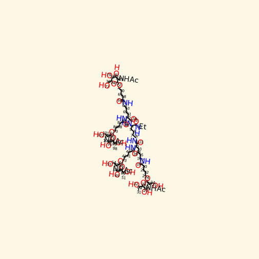 CCNC(=O)C(CCCCNC(=O)C(CCCCNC(=O)CCCCOC(OC(CO)[C@@H](C)O)[C@H](CO)NC(C)=O)NC(=O)CCCCOC(OC(CO)[C@@H](C)O)[C@H](CO)NC(C)=O)NC(=O)C(CCCCNC(=O)CCCCOC1OC(CO)C(O)C(O)C1NC(C)=O)NC(=O)CCCCOC(OC(CO)[C@@H](C)O)[C@H](CO)NC(C)=O